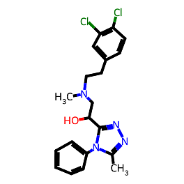 Cc1nnc(C(O)CN(C)CCc2ccc(Cl)c(Cl)c2)n1-c1ccccc1